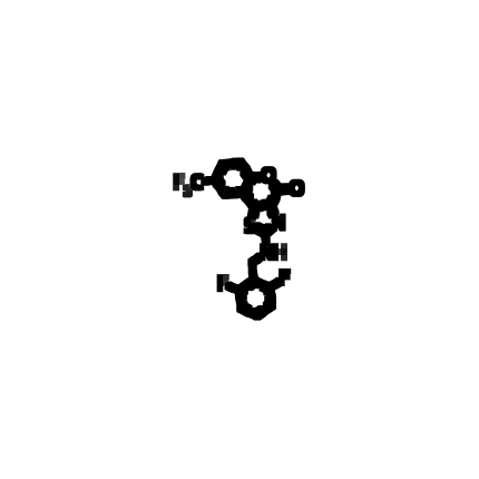 O=c1oc2ccc(C(F)(F)F)cc2c2sc(NCc3c(F)cccc3F)nc12